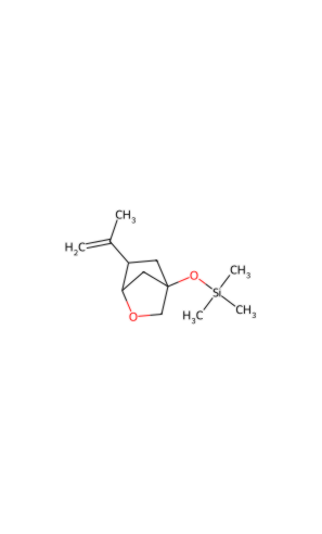 C=C(C)C1CC2(O[Si](C)(C)C)COC1C2